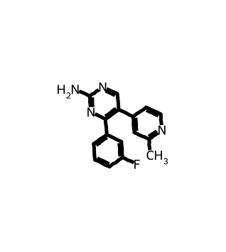 Cc1cc(-c2cnc(N)nc2-c2cccc(F)c2)ccn1